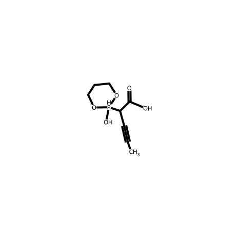 CC#CC(C(=O)O)[PH]1(O)OCCCO1